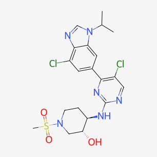 CC(C)n1cnc2c(Cl)cc(-c3nc(N[C@@H]4CCN(S(C)(=O)=O)C[C@H]4O)ncc3Cl)cc21